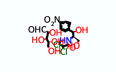 O=C(N[C@H](CO)[C@H](O)c1ccc([N+](=O)[O-])cc1)C(Cl)Cl.O=C[C@@H](O)[C@H](O)[C@H](O)CO